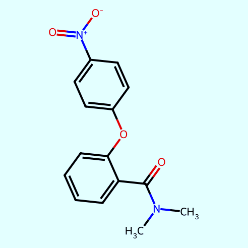 CN(C)C(=O)c1ccccc1Oc1ccc([N+](=O)[O-])cc1